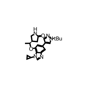 CC(Oc1cc(-c2cnn(C(C)(C)C)c2)cc2ncn(C3CC3)c12)[C@H]1CNC(=O)C1